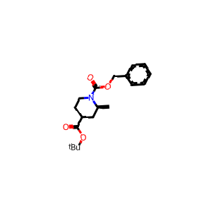 C=C1CC(C(=O)OC(C)(C)C)CCN1C(=O)OCc1ccccc1